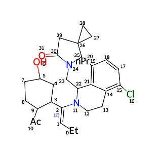 CC/C=C(/C1CC(O)CCC1C(C)=O)N1CCc2c(Cl)ccc(CCC)c2C1CN1CC2(CC2)CC1=O